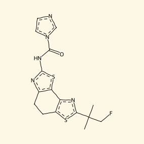 CC(C)(CF)c1nc2c(s1)CCc1nc(NC(=O)n3ccnc3)sc1-2